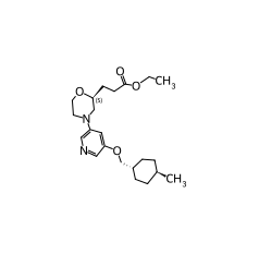 CCOC(=O)CC[C@H]1CN(c2cncc(OC[C@H]3CC[C@H](C)CC3)c2)CCO1